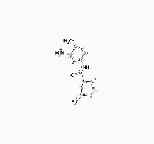 Cc1ccc(NC(=O)c2cc(C(F)(F)F)ccn2)cc1N